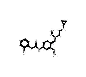 C=NN(/C=C1\CC=C(NC(=O)Cc2ccccc2Cl)C=C1SN)CCOC1CC1